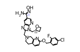 N/C(=N\O)c1cnc2c(c1)nc(CN1CCc3ccc(OCc4ccc(Cl)cc4F)nc3C1)n2C[C@@H]1CCO1